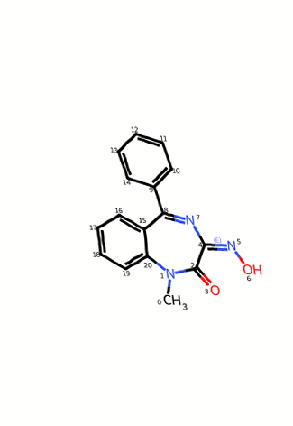 Cn1c(=O)/c(=N\O)nc(-c2ccccc2)c2ccccc21